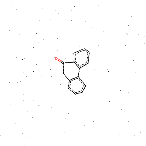 O=C1Cc2ccccc2-c2ccc[c]c21